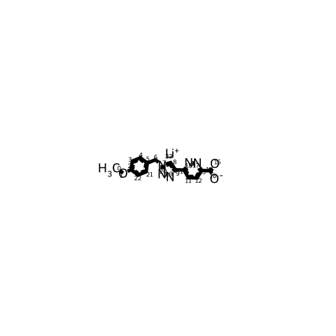 COc1ccc(Cn2cc(-c3ccc(C(=O)[O-])nn3)nn2)cc1.[Li+]